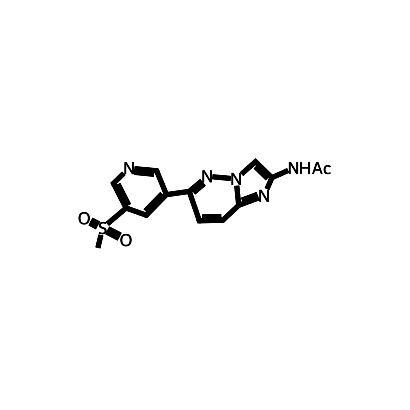 CC(=O)Nc1cn2nc(-c3cncc(S(C)(=O)=O)c3)ccc2n1